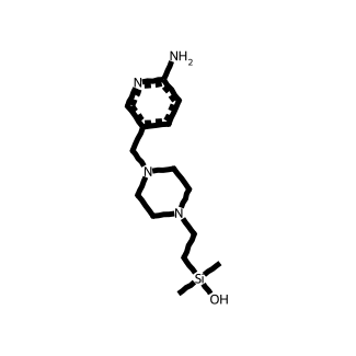 C[Si](C)(O)CCN1CCN(Cc2ccc(N)nc2)CC1